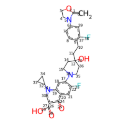 C=C1OCCN1c1ccc(CCC2(O)CCN(c3cc4c(cc3F)c(=O)c(C(=O)O)cn4C3CC3)CC2)c(F)c1